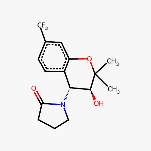 CC1(C)Oc2cc(C(F)(F)F)ccc2[C@@H](N2CCCC2=O)[C@@H]1O